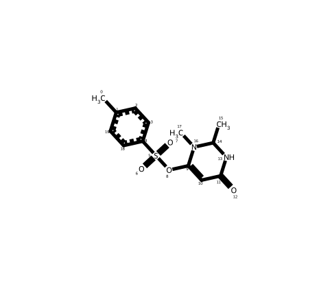 Cc1ccc(S(=O)(=O)OC2=CC(=O)NC(C)N2C)cc1